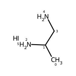 CC(N)CN.I